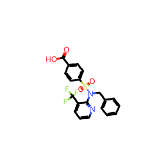 O=C(O)c1ccc(S(=O)(=O)N(Cc2ccccc2)c2ncccc2C(F)(F)F)cc1